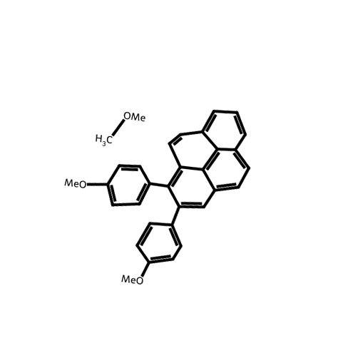 COC.COc1ccc(-c2cc3ccc4cccc5ccc(c2-c2ccc(OC)cc2)c3c45)cc1